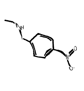 CNSc1ccc([N+](=O)[O-])cc1